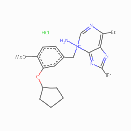 CCC1=C2N=C(C(C)C)N=C2[N+](N)(Cc2ccc(OC)c(OC3CCCC3)c2)C=N1.Cl